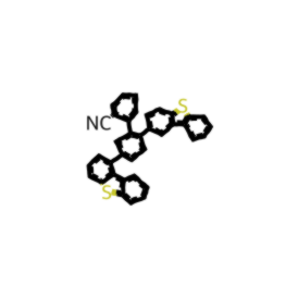 N#Cc1ccccc1-c1cc(-c2cccc3sc4ccccc4c23)ccc1-c1ccc2sc3ccccc3c2c1